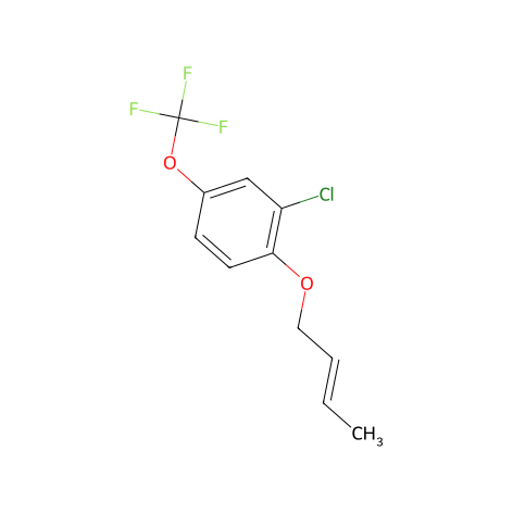 CC=CCOc1ccc(OC(F)(F)F)cc1Cl